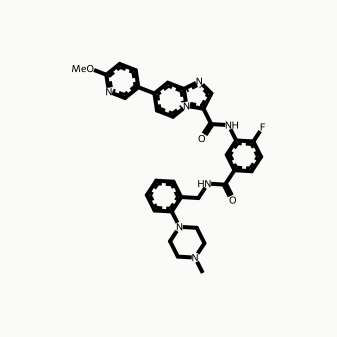 COc1ccc(-c2ccn3c(C(=O)Nc4cc(C(=O)NCc5ccccc5N5CCN(C)CC5)ccc4F)cnc3c2)cn1